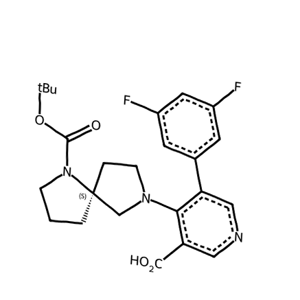 CC(C)(C)OC(=O)N1CCC[C@@]12CCN(c1c(C(=O)O)cncc1-c1cc(F)cc(F)c1)C2